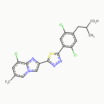 CC(Cc1cc(Cl)c(-c2nnc(-c3cn4cc(C(F)(F)F)cc(Cl)c4n3)s2)cc1Cl)C(=O)O